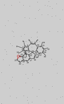 CC1=C(C)c2c(C)c(C)c(C)c(C)c2C2(C=Cc3cc4ccoc4cc32)c2c(C)c(C)c(C)c(C)c21